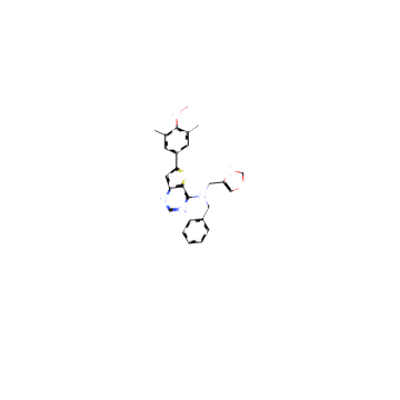 COc1c(C)cc(-c2cc3ncnc(N(CC4=COCO4)Cc4ccccc4)c3s2)cc1C